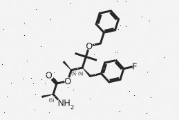 C[C@H](N)C(=O)O[C@@H](C)[C@H](Cc1ccc(F)cc1)C(C)(C)OCc1ccccc1